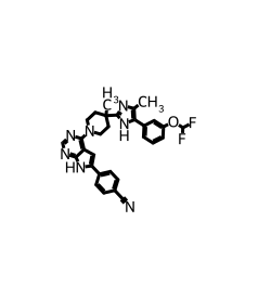 Cc1nc(C2(C)CCN(c3ncnc4[nH]c(-c5ccc(C#N)cc5)cc34)CC2)[nH]c1-c1cccc(OC(F)F)c1